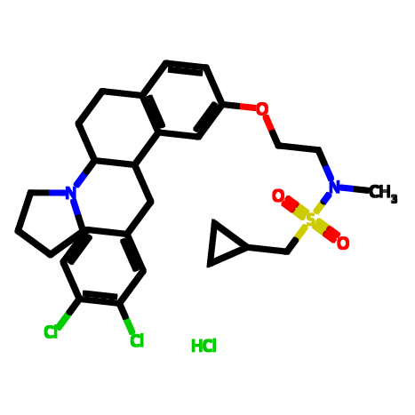 CN(CCOc1ccc2c(c1)C(Cc1ccc(Cl)c(Cl)c1)C(N1CCCC1)CC2)S(=O)(=O)CC1CC1.Cl